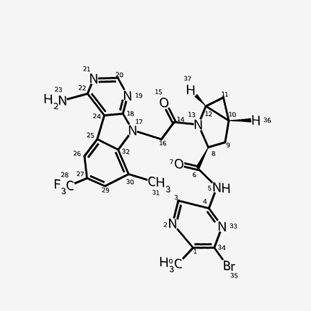 Cc1ncc(NC(=O)[C@@H]2C[C@H]3C[C@H]3N2C(=O)Cn2c3ncnc(N)c3c3cc(C(F)(F)F)cc(C)c32)nc1Br